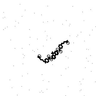 CC1(CCCC2CO2)CCC(C(=O)Oc2ccc3c(c2)C(C)(C)c2cc(OC(=O)C4CCC(CCCC5CO5)CC4)ccc2-3)CC1